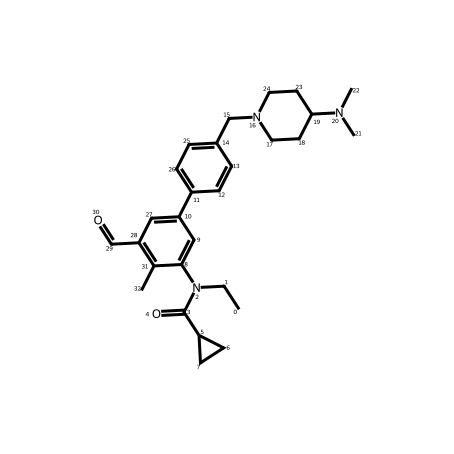 CCN(C(=O)C1CC1)c1cc(-c2ccc(CN3CCC(N(C)C)CC3)cc2)cc(C=O)c1C